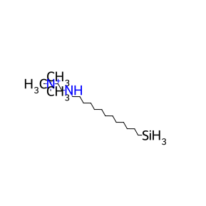 C[N+](C)(C)CCNCCCCCCCCCCCCC[SiH3]